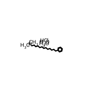 CN(C)CCCCCCCCCCCCCc1ccccc1.Cl.O.O